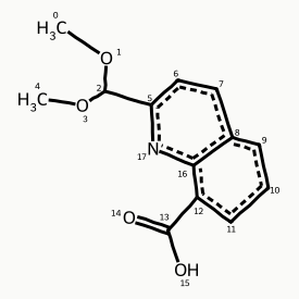 COC(OC)c1ccc2cccc(C(=O)O)c2n1